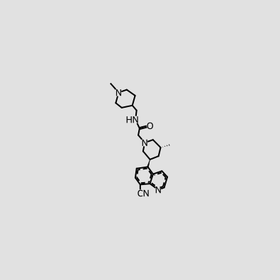 C[C@@H]1C[C@@H](c2ccc(C#N)c3ncccc23)CN(CC(=O)NCC2CCN(C)CC2)C1